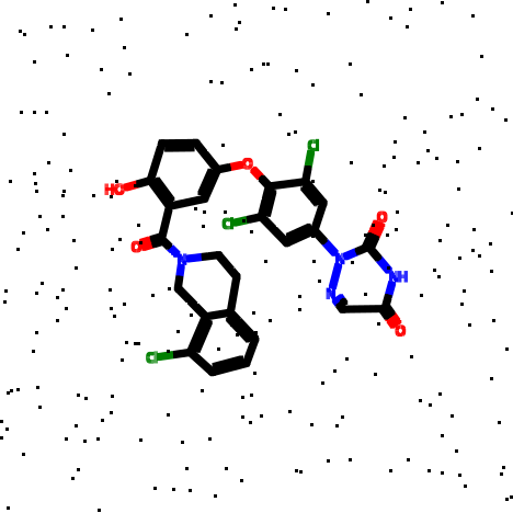 O=C(c1cc(Oc2c(Cl)cc(-n3ncc(=O)[nH]c3=O)cc2Cl)ccc1O)N1CCc2cccc(Cl)c2C1